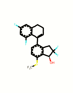 O[C@H]1c2c(SC(F)(F)F)ccc(C3=CCCc4cc(F)cc(F)c43)c2CC1(F)F